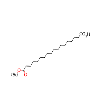 CC(C)(C)OC(=O)C=CCCCCCCCCCCCCCCC(=O)O